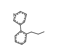 CCCc1ccccc1-c1cccnc1